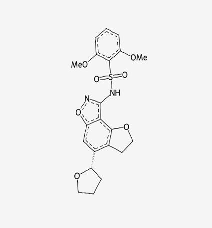 COc1cccc(OC)c1S(=O)(=O)Nc1noc2cc([C@@H]3CCCO3)c3c(c12)OCC3